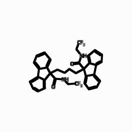 O=C(NCC(F)(F)F)C1(CCCCC2(C(=O)NCC(F)(F)F)c3ccccc3-c3ccccc32)c2ccccc2-c2ccccc21